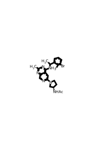 CC(=O)N[C@@H]1CCN(c2cc3c(NC(C)c4cccc(Br)c4F)nc(C)nc3cn2)C1